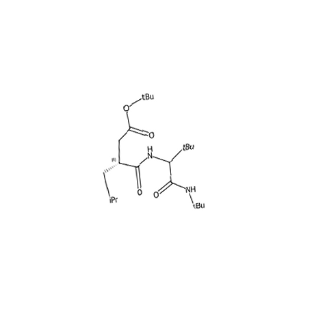 CC(C)C[C@H](CC(=O)OC(C)(C)C)C(=O)NC(C(=O)NC(C)(C)C)C(C)(C)C